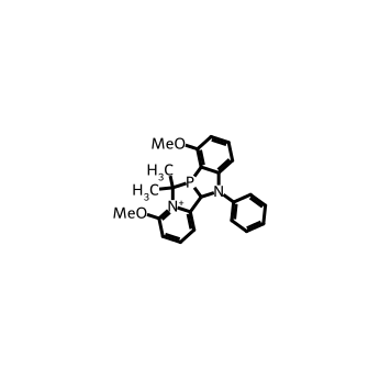 COc1cccc2c1P1C(c3cccc(OC)[n+]3C1(C)C)N2c1ccccc1